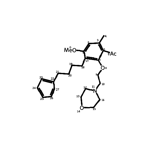 COc1cc(C)c(C(C)=O)c(OCCN2CCOCC2)c1CCCCc1ccccc1